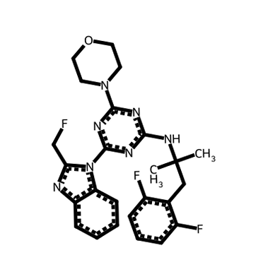 CC(C)(Cc1c(F)cccc1F)Nc1nc(N2CCOCC2)nc(-n2c(CF)nc3ccccc32)n1